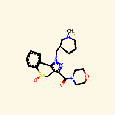 CN1CCCC(Cn2nc(C(=O)N3CCOCC3)c3c2-c2ccccc2[S+]([O-])C3)C1